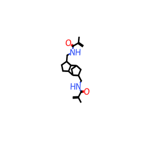 C=C(C)C(=O)NCC1CC2CC1C1CCC(CNC(=O)C(=C)C)C21